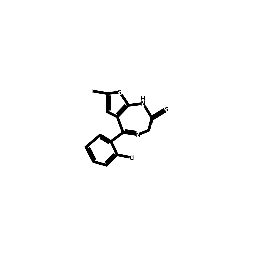 S=C1CN=C(c2ccccc2Cl)c2cc(I)sc2N1